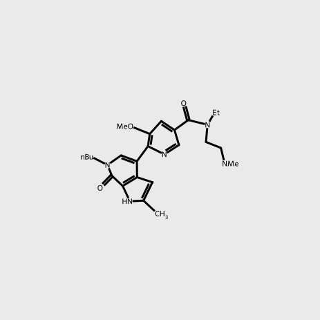 CCCCn1cc(-c2ncc(C(=O)N(CC)CCNC)cc2OC)c2cc(C)[nH]c2c1=O